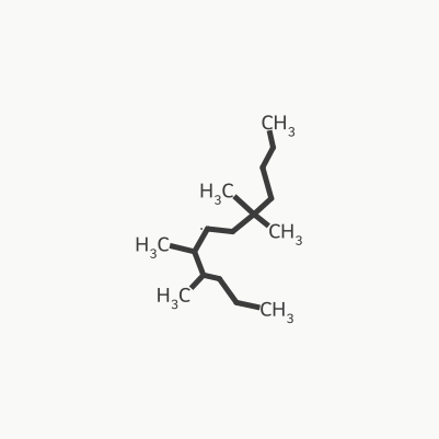 CCCCC(C)(C)C[CH]C(C)C(C)CCC